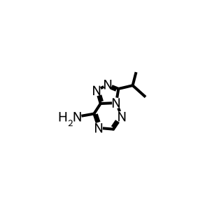 CC(C)c1nnc2c(N)ncnn12